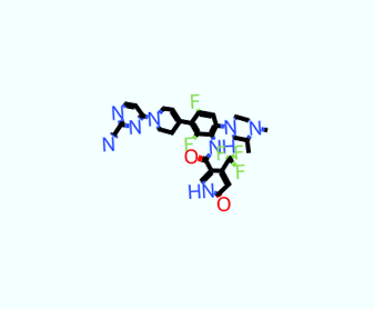 CC1CN(c2cc(F)c(C3=CCN(c4ccnc(C#N)n4)CC3)c(F)c2NC(=O)c2c[nH]c(=O)cc2C(F)(F)F)CCN1C